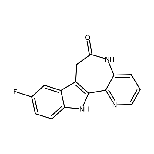 O=C1Cc2c([nH]c3ccc(F)cc23)-c2ncccc2N1